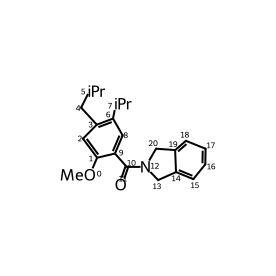 COc1cc(CC(C)C)c(C(C)C)cc1C(=O)N1Cc2ccccc2C1